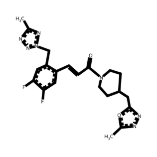 Cc1nnn(Cc2cc(F)c(F)cc2C=CC(=O)N2CCC(Cc3nnc(C)o3)CC2)n1